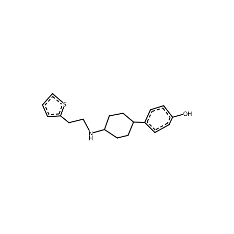 Oc1ccc(C2CCC(NCCc3cccs3)CC2)cc1